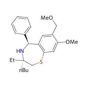 CCCC[C@@]1(CC)CSc2cc(OC)c(COC)cc2[C@H](c2ccccc2)N1